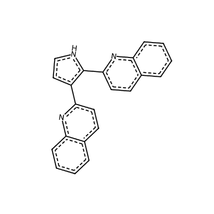 c1ccc2nc(-c3cc[nH]c3-c3ccc4ccccc4n3)ccc2c1